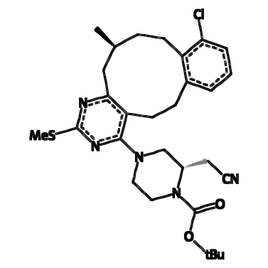 CSc1nc2c(c(N3CCN(C(=O)OC(C)(C)C)[C@@H](CC#N)C3)n1)CCc1cccc(Cl)c1CC[C@H](C)C2